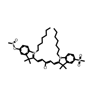 CCCCCCCN1C(=CC=C(Cl)C=CC2=[N+](CCCCCCC)c3ccc(OS(C)=O)cc3C2(C)C)C(C)(C)c2cc(S(C)(=O)=O)ccc21